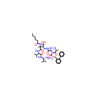 CCCCCC(=O)N[C@@](C)(C(=O)NC(C(=O)N[C@H](CN)C(C)C)C(C)C)C(CO)CNC(=O)[C@H](C)N(C(=O)OCc1ccccc1-c1ccccc1)C(=O)[C@H](C)N